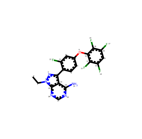 [CH2]Cn1nc(-c2ccc(Oc3c(F)c(F)cc(F)c3F)cc2F)c2c(N)ncnc21